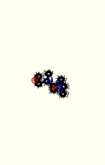 c1ccc(-c2cc(-c3cccc4oc5ccccc5c34)cc(-c3cccc(-n4c5ccccc5c5ccc6c7ccccc7n(-c7ccccc7)c6c54)c3)n2)cc1